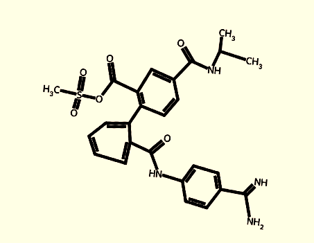 CC(C)NC(=O)c1ccc(-c2ccccc2C(=O)Nc2ccc(C(=N)N)cc2)c(C(=O)OS(C)(=O)=O)c1